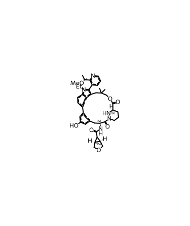 CCn1c(-c2cccnc2[C@H](C)OC)c2c3cc(ccc31)-c1cc(O)cc(c1)C[C@H](NC(=O)C1[C@H]3COC[C@@H]13)C(=O)N1CCC[C@H](N1)C(=O)OCC(C)(C)C2